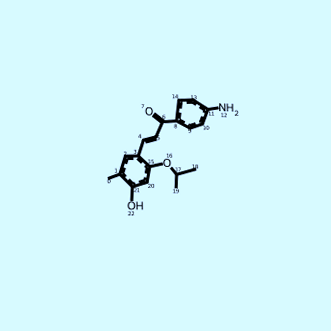 Cc1cc(/C=C/C(=O)c2ccc(N)cc2)c(OC(C)C)cc1O